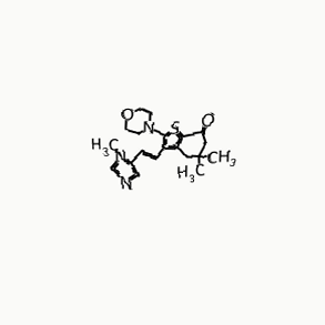 Cn1cncc1C=Cc1c(N2CCOCC2)sc2c1CC(C)(C)CC2=O